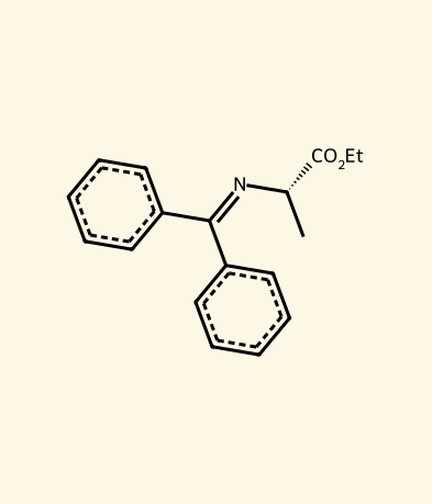 CCOC(=O)[C@H](C)N=C(c1ccccc1)c1ccccc1